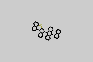 c1ccc2c(-c3c4ccccc4c(-c4cc5c(c6ccccc46)-c4cccc6cccc(c46)S5)c4ccccc34)cccc2c1